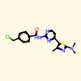 Cc1nc(N(C)C)sc1-c1ccnc(NC(=O)c2ccc(CCl)cc2)n1